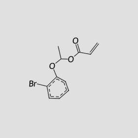 C=CC(=O)OC(C)Oc1ccccc1Br